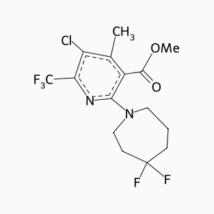 COC(=O)c1c(N2CCCC(F)(F)CC2)nc(C(F)(F)F)c(Cl)c1C